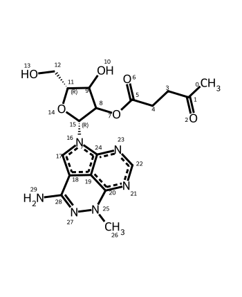 CC(=O)CCC(=O)OC1C(O)[C@@H](CO)O[C@H]1n1cc2c3c(ncnc31)N(C)N=C2N